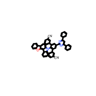 N#Cc1cccc(-c2cc(-c3nc(-c4ccccc4)cc(-c4ccccc4)n3)cc(-c3cccc(C#N)c3)c2-n2c3ccccc3c3c4oc5ccccc5c4ccc32)c1